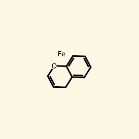 C1=COc2ccccc2C1.[Fe]